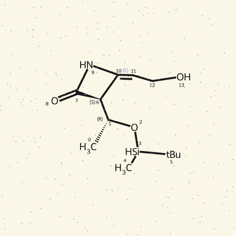 C[C@@H](O[SiH](C)C(C)(C)C)[C@H]1C(=O)N/C1=C/CO